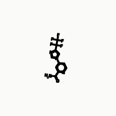 NC(=O)c1cc(-n2cnc(C(F)(F)C(F)(F)F)c2)ccn1